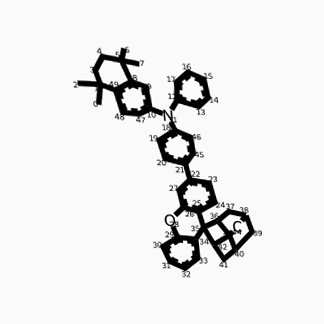 CC1(C)CCC(C)(C)c2cc(N(c3ccccc3)c3ccc(-c4ccc5c(c4)Oc4ccccc4C54C5CC6CC7CC4C75C6)cc3)ccc21